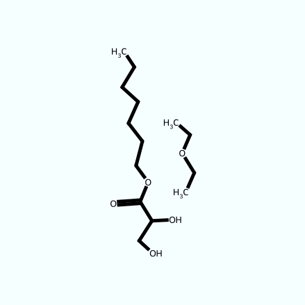 CCCCCCCOC(=O)C(O)CO.CCOCC